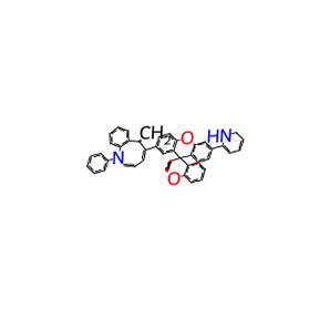 C=C1/C(c2ccc3c(c2)C2(c4ccccc4Oc4ccccc42)c2ccc(C4=CC=CCN4)cc2O3)=C\C=C/N(c2ccccc2)c2ccccc21